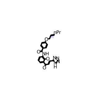 CCC/C=C/COc1ccc(C(=O)Nc2cccc3c(=O)cc(-c4nnn[nH]4)oc23)cc1